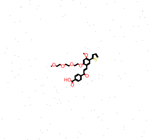 COCCOCCOCCOc1cc(OC)c(-c2cccs2)cc1/C=C/C(=O)c1ccc(C(=O)O)cc1